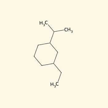 CCC1CCCC(C(C)C)C1